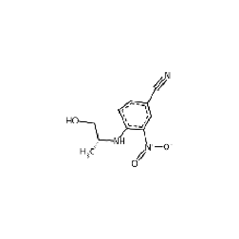 C[C@H](CO)Nc1ccc(C#N)cc1[N+](=O)[O-]